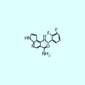 NC(=O)c1cnc2[nH]ccc2c1NCc1cccc(F)c1F